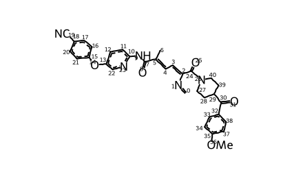 C=N/C(=C\C=C(/C)C(=O)Nc1ccc(Oc2ccc(C#N)cc2)cn1)C(=O)N1CCC(C(=O)c2ccc(OC)cc2)CC1